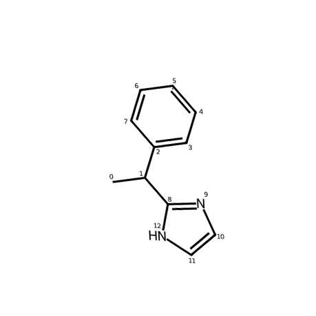 CC(c1cc[c]cc1)c1ncc[nH]1